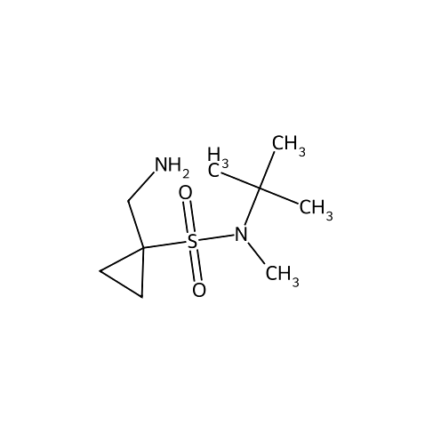 CN(C(C)(C)C)S(=O)(=O)C1(CN)CC1